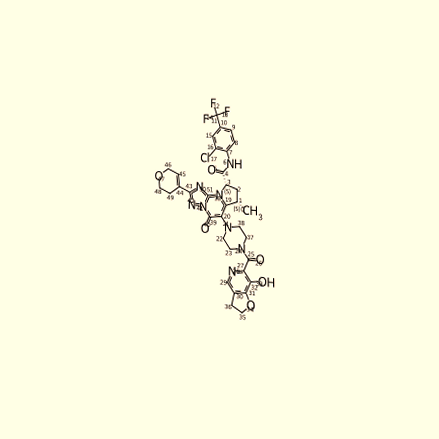 C[C@H]1C[C@@H](C(=O)Nc2ccc(C(F)(F)F)cc2Cl)n2c1c(N1CCN(C(=O)c3ncc4c(c3O)OCC4)CC1)c(=O)n1nc(C3=CCOCC3)nc21